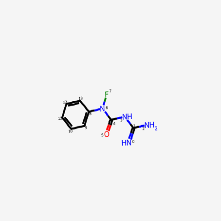 N=C(N)NC(=O)N(F)c1ccccc1